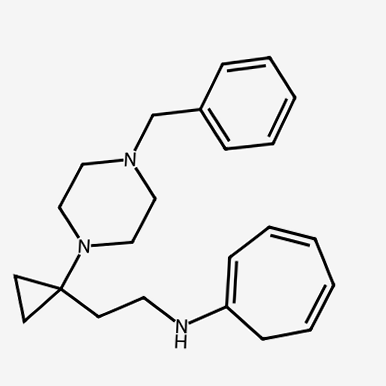 C1=CC=C(NCCC2(N3CCN(Cc4ccccc4)CC3)CC2)CC=C1